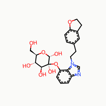 OC[C@H]1O[C@H](O)[C@@](O)(Oc2cccc3ncn(CCc4ccc5c(c4)CCO5)c23)[C@@H](O)[C@@H]1O